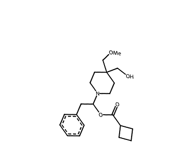 COCC1(CO)CCN(C(Cc2ccccc2)OC(=O)C2CCC2)CC1